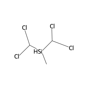 C[SiH](C(Cl)Cl)C(Cl)Cl